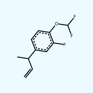 C=C[C](C)c1ccc(OC(F)F)c(F)c1